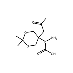 CC(=O)CC1(N(N)C(=O)O)COC(C)(C)OC1